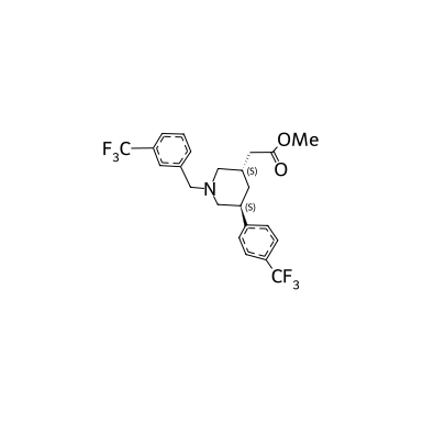 COC(=O)C[C@@H]1C[C@@H](c2ccc(C(F)(F)F)cc2)CN(Cc2cccc(C(F)(F)F)c2)C1